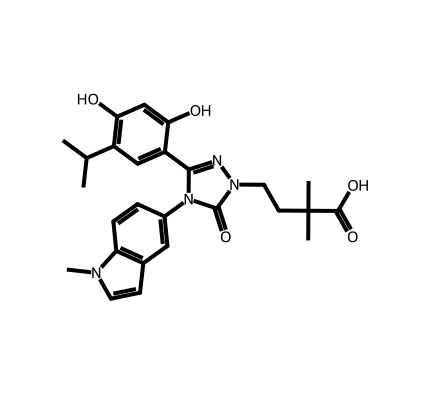 CC(C)c1cc(-c2nn(CCC(C)(C)C(=O)O)c(=O)n2-c2ccc3c(ccn3C)c2)c(O)cc1O